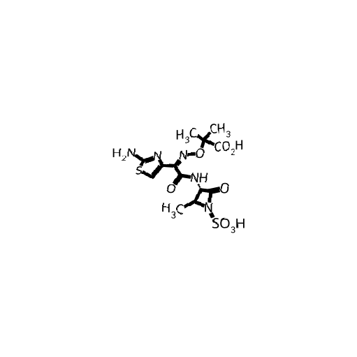 CC1[C@H](NC(=O)/C(=N\OC(C)(C)C(=O)O)c2csc(N)n2)C(=O)N1S(=O)(=O)O